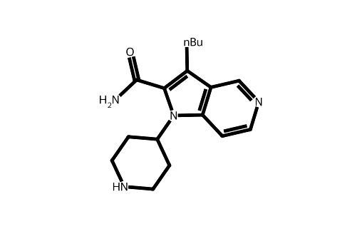 CCCCc1c(C(N)=O)n(C2CCNCC2)c2ccncc12